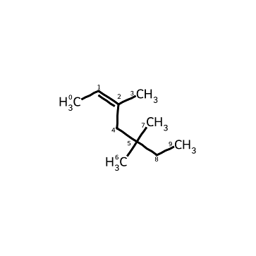 CC=C(C)CC(C)(C)CC